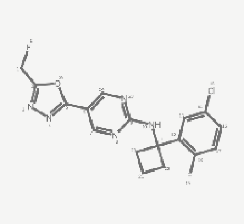 FCc1nnc(-c2cnc(NC3(c4cc(Cl)ccc4F)CCC3)nc2)o1